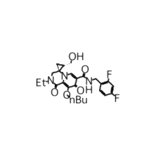 CCCCOc1c2n(cc(C(=O)NCc3ccc(F)cc3F)c1=O)[C@]1(C[C@@H]1CO)CN(CC)C2=O